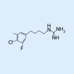 Cc1cc(CCCCNC(=N)N)cc(F)c1Cl